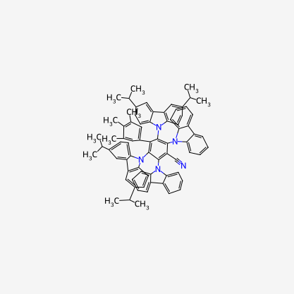 Cc1cc(-c2c(-n3c4ccc(C(C)C)cc4c4cc(C(C)C)ccc43)c(-n3c4ccccc4c4ccccc43)c(C#N)c(-n3c4ccccc4c4ccccc43)c2-n2c3ccc(C(C)C)cc3c3cc(C(C)C)ccc32)cc(C)c1C